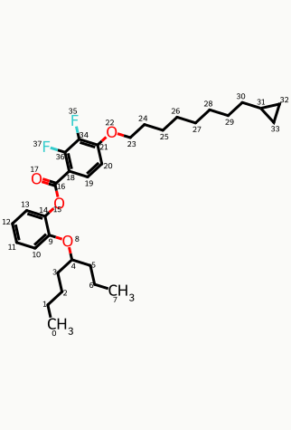 CCCCC(CCC)Oc1ccccc1OC(=O)c1ccc(OCCCCCCCCC2CC2)c(F)c1F